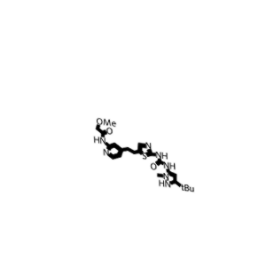 COCC(=O)Nc1cc(CCc2cnc(NC(=O)NC3=CC(C(C)(C)C)NN3C)s2)ccn1